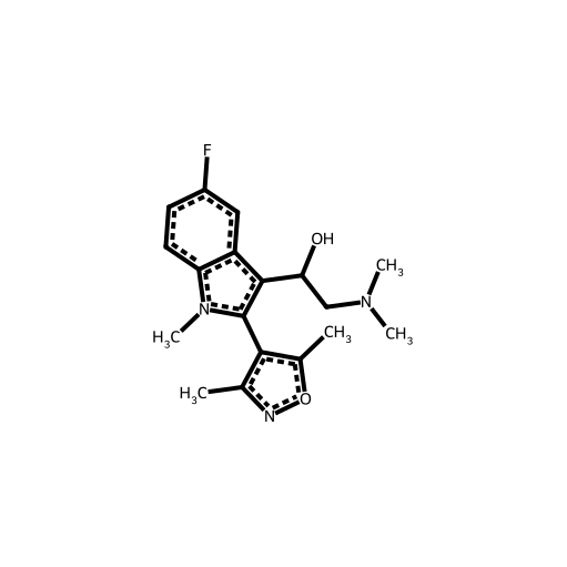 Cc1noc(C)c1-c1c(C(O)CN(C)C)c2cc(F)ccc2n1C